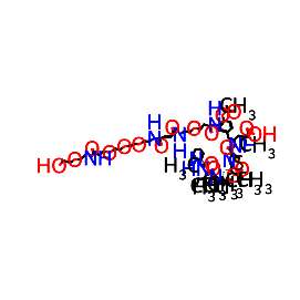 CC[C@H](C)[C@H](NC(=O)[C@H]1CCCCN1C)C(=O)N(C)[C@H](C[C@@H](OC(C)=O)c1nc(C(=O)N[C@@H](Cc2ccc(OC(C)=O)c(NC(=O)CCOCCNC(=O)/C=C/C(=O)NCCOCCOCCOCCC(=O)NCCOCCO)c2)CC(C)C(=O)O)cs1)C(C)C